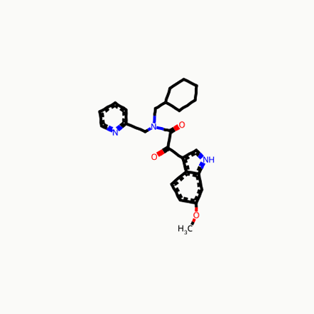 COc1ccc2c(C(=O)C(=O)N(Cc3ccccn3)CC3CCCCC3)c[nH]c2c1